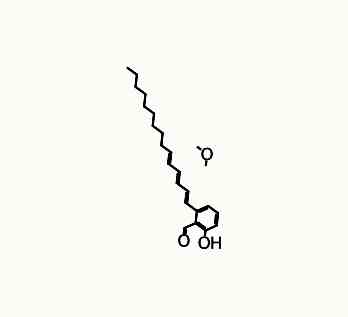 CCCCCCCCCC=CC=CC=Cc1cccc(O)c1C=O.COC